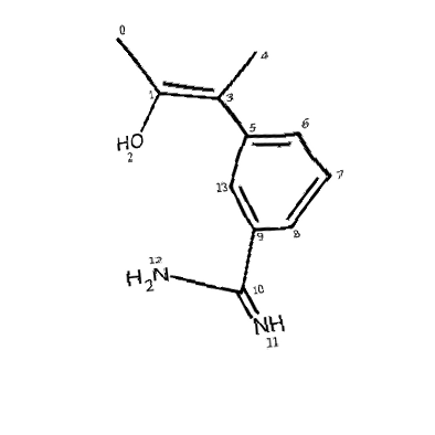 C/C(O)=C(\C)c1cccc(C(=N)N)c1